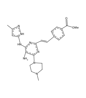 COC(=O)c1ccc(C=Cc2nc(Nc3cc(C)n[nH]3)c(N)c(N3CCN(C)CC3)n2)cc1